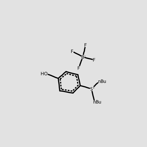 CCCC[S+](CCCC)c1ccc(O)cc1.F[B-](F)(F)F